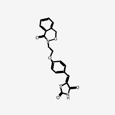 O=C1NC(=O)/C(=C/c2ccc(OCCN3OCc4ccccc4C3=O)cc2)S1